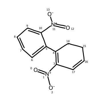 O=[N+]([O-])C1=C(c2ccccc2[N+](=O)[O-])[CH]CC=C1